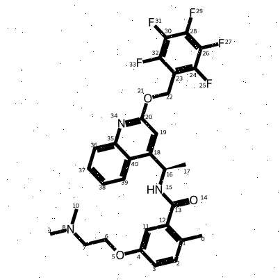 Cc1ccc(OCCN(C)C)cc1C(=O)N[C@H](C)c1cc(OCc2c(F)c(F)c(F)c(F)c2F)nc2ccccc12